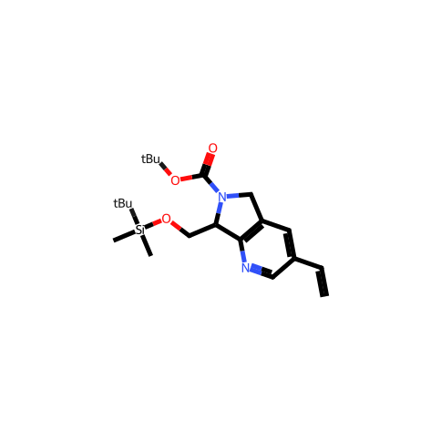 C=Cc1cnc2c(c1)CN(C(=O)OC(C)(C)C)C2CO[Si](C)(C)C(C)(C)C